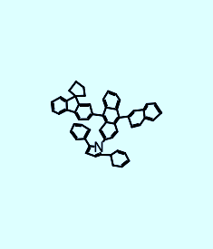 C1=CCC(c2ccc(-c3ccccc3)n2-c2ccc3c(-c4ccc5ccccc5c4)c4ccccc4c(-c4ccc5c(c4)C4(CCCC4)c4ccccc4-5)c3c2)C=C1